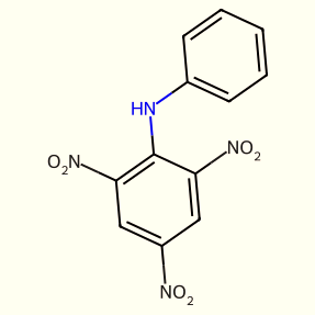 O=[N+]([O-])c1cc([N+](=O)[O-])c(Nc2ccccc2)c([N+](=O)[O-])c1